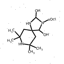 CCCCCCCCN1C(O)NC2(CC(C)(C)NC(C)(C)C2)C1O